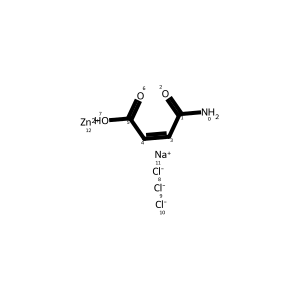 NC(=O)/C=C\C(=O)O.[Cl-].[Cl-].[Cl-].[Na+].[Zn+2]